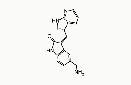 NCc1ccc2c(c1)C(=Cc1c[nH]c3ncccc13)C(=O)N2